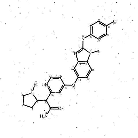 CCN1CCCC1C(C(N)=O)c1cc(Oc2ccc3c(c2)nc(Nc2ccc(Cl)cc2)n3C)ccn1